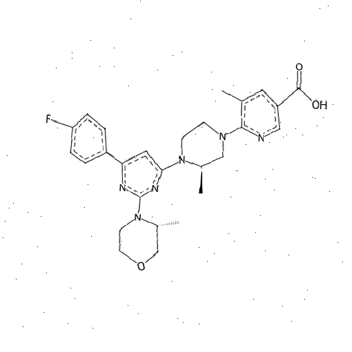 Cc1cc(C(=O)O)cnc1N1CCN(c2cc(-c3ccc(F)cc3)nc(N3CCOC[C@H]3C)n2)[C@H](C)C1